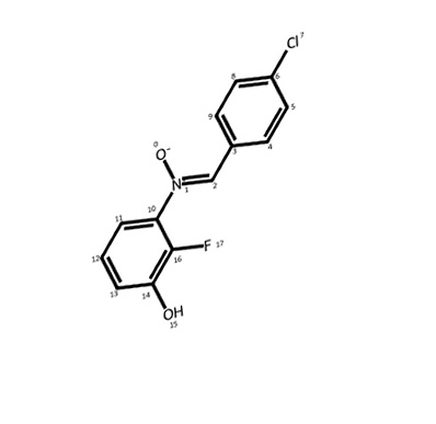 [O-][N+](=Cc1ccc(Cl)cc1)c1cccc(O)c1F